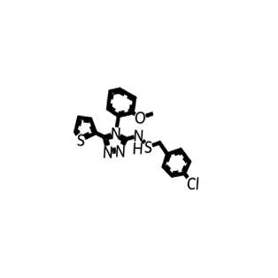 COc1ccccc1-n1c(NSCc2ccc(Cl)cc2)nnc1-c1cccs1